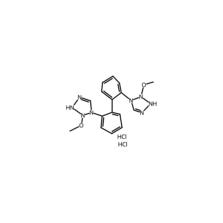 CON1NN=CN1c1ccccc1-c1ccccc1N1C=NNN1OC.Cl.Cl